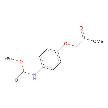 COC(=O)COc1ccc(NC(=O)OC(C)(C)C)cc1